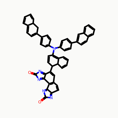 O=c1nc2ccc3cc(C4C=CC(N(c5ccc(C6=CC=C7C=CC=CC7C6)cc5)c5ccc(-c6ccc7ccccc7c6)cc5)=C5C=CC=CC54)c4nc(=O)nc4c3c2n1